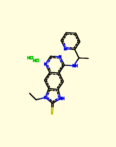 CCn1c(=S)[nH]c2cc3c(NC(C)c4ccccn4)ncnc3cc21.Cl.Cl